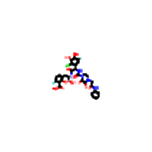 O=C(CN1CCN(C(=O)NC(C(=O)N[C@H]2Cc3ccc(F)c(C(=O)O)c3OB2O)c2cc(F)c(O)c(O)c2Cl)C(=O)C1=O)Nc1ccccc1